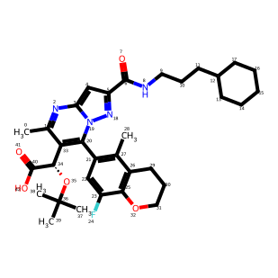 Cc1nc2cc(C(=O)NCCCC3CCCCC3)nn2c(-c2cc(F)c3c(c2C)CCCO3)c1[C@H](OC(C)(C)C)C(=O)O